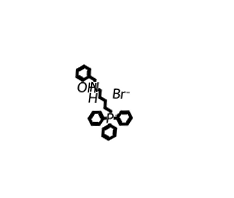 Oc1ccccc1CNCCCCC[P+](c1ccccc1)(c1ccccc1)c1ccccc1.[Br-]